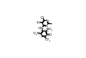 CCc1c(Cl)nc(C)nc1Nc1c([N+](=O)[O-])cc(C(F)(F)F)c(Cl)c1[N+](=O)[O-]